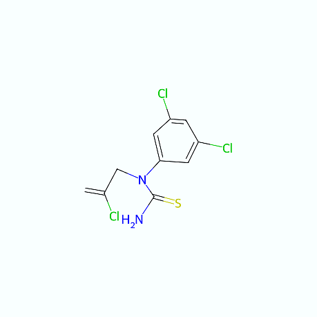 C=C(Cl)CN(C(N)=S)c1cc(Cl)cc(Cl)c1